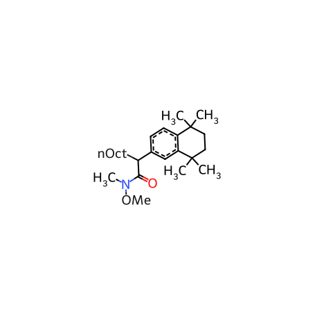 CCCCCCCCC(C(=O)N(C)OC)c1ccc2c(c1)C(C)(C)CCC2(C)C